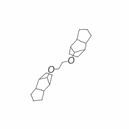 C1CC2C(C1)C1CCC2C1OCCOC1C2CCC1C1CCCC12